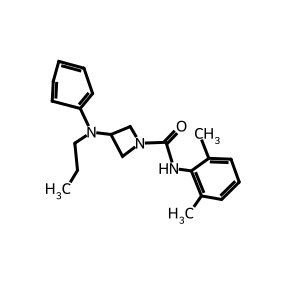 CCCN(c1ccccc1)C1CN(C(=O)Nc2c(C)cccc2C)C1